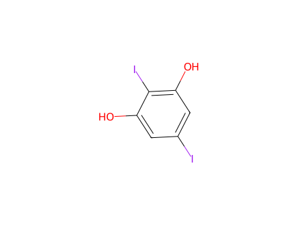 Oc1cc(I)cc(O)c1I